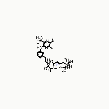 [2H]C([2H])([2H])N(C/C=C/C(=O)N(C)[C@@H](C)C(=O)NCCc1cccc(Nc2nc(C)c(CC)nc2C(N)=O)c1)C([2H])([2H])[2H]